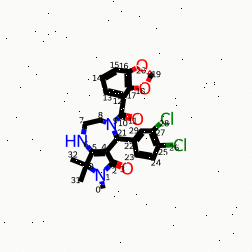 CN1C(=O)C2=C(NCCN(C(=O)c3cccc4c3OCO4)C2c2ccc(Cl)c(Cl)c2)C1(C)C